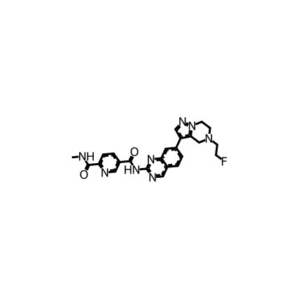 CNC(=O)c1ccc(C(=O)Nc2ncc3ccc(-c4cnn5c4CN(CCF)CC5)cc3n2)cn1